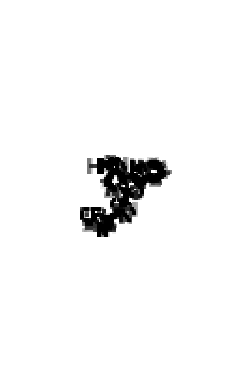 O=C(c1nnc(-c2cnn(CC(F)(F)F)c2)o1)N1CCc2[nH]cnc2[C@H]1c1cc2ccccn2n1